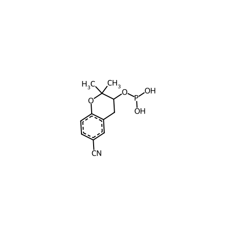 CC1(C)Oc2ccc(C#N)cc2CC1OP(O)O